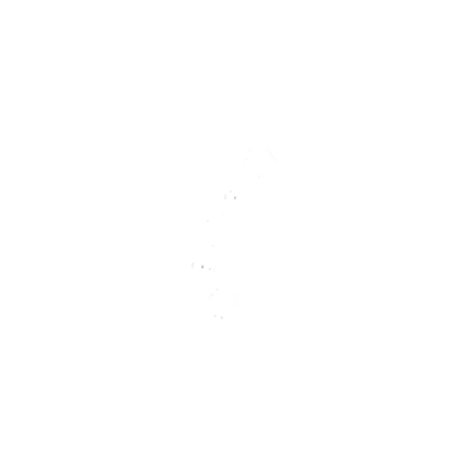 O=C(O[C@@H]1C=C[C@H](OCc2ccccc2)C1)c1ccccc1